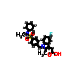 Cc1c(CC(=O)O)c2cc(F)ccc2n1Cc1ccc(S(=O)(=O)N(C)C2CCCCC2)cc1